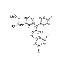 COCC(C)Nc1nccc(N(C(=O)Nc2c(F)cc(F)cc2F)c2ccc(F)cc2)n1